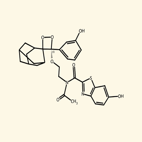 CC(=O)N(CCO[C@@]1(c2cccc(O)c2)OOC12C1CC3CC(C1)CC2C3)C(=O)c1nc2ccc(O)cc2s1